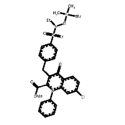 CCN(O[Si](C)(C)C(C)(C)C)S(=O)(=O)c1ccc(Cc2c(C(=O)OC)n(-c3ccccc3)c3cc(Cl)ccc3c2=O)cc1